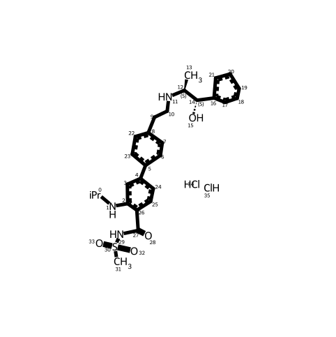 CC(C)Nc1cc(-c2ccc(CCN[C@@H](C)[C@@H](O)c3ccccc3)cc2)ccc1C(=O)NS(C)(=O)=O.Cl.Cl